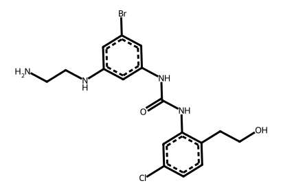 NCCNc1cc(Br)cc(NC(=O)Nc2cc(Cl)ccc2CCO)c1